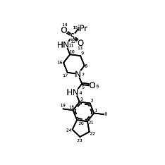 Cc1cc(NC(=O)N2CCC(NS(=O)(=O)C(C)C)CC2)c(C)c2c1CCC2